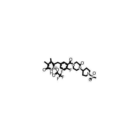 Cc1c(C)c(=O)[nH][n+](OC(=O)C(F)(F)F)c1Cc1ccc(F)c(C(=O)N2CCN(C3CCN(S(C)(=O)=O)CC3)C(=O)C2)c1